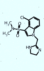 CN(C)S(=O)(=O)c1cn(CC2=NCCN2)c2cccc(Cl)c12